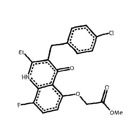 CCc1[nH]c2c(F)ccc(OCC(=O)OC)c2c(=O)c1Cc1ccc(Cl)cc1